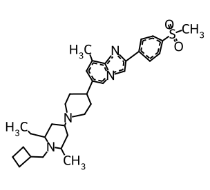 CCC1CC(N2CCC(c3cc(C)c4nc(-c5ccc(S(C)(=O)=O)cc5)cn4c3)CC2)CC(C)N1CC1CCC1